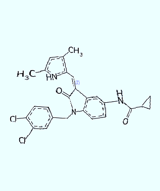 Cc1cc(C)c(/C=C2\C(=O)N(Cc3ccc(Cl)c(Cl)c3)c3ccc(NC(=O)C4CC4)cc32)[nH]1